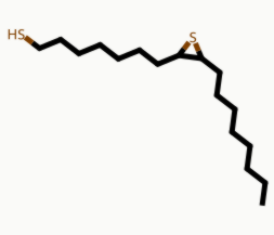 CCCCCCCCC1SC1CCCCCCCS